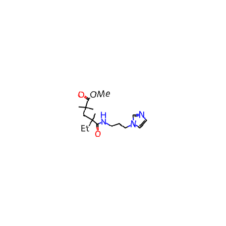 CCC(C)(CC(C)(C)C(=O)OC)C(=O)NCCCn1ccnc1